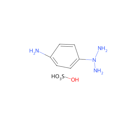 Nc1ccc(N(N)N)cc1.O=S(=O)(O)O